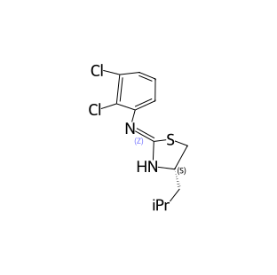 CC(C)C[C@H]1CS/C(=N\c2cccc(Cl)c2Cl)N1